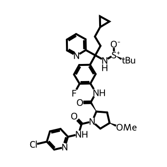 CO[C@@H]1C[C@H](C(=O)Nc2cc(C(CCC3CC3)(N[S@@+]([O-])C(C)(C)C)c3ccccn3)ccc2F)N(C(=O)Nc2ccc(Cl)cn2)C1